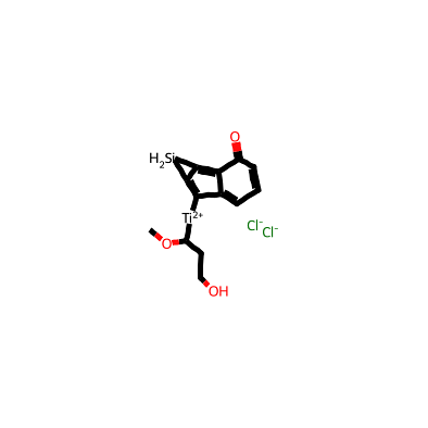 CO[CH](CCO)[Ti+2][C]1=C2[SiH2]C2=C2C(=O)C=CC=C12.[Cl-].[Cl-]